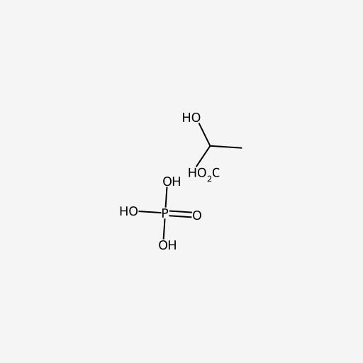 CC(O)C(=O)O.O=P(O)(O)O